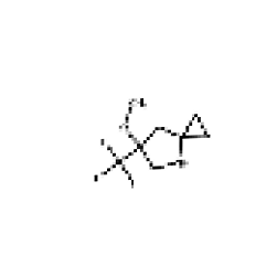 COC1(C(F)(F)F)CNC2(CC2)C1